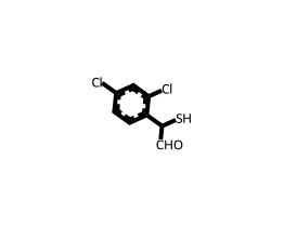 O=CC(S)c1ccc(Cl)cc1Cl